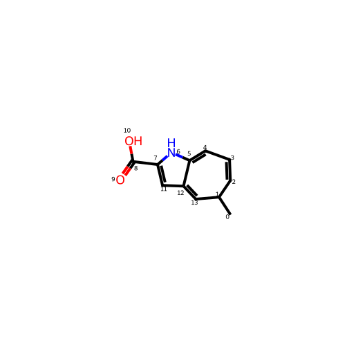 CC1C=CC=c2[nH]c(C(=O)O)cc2=C1